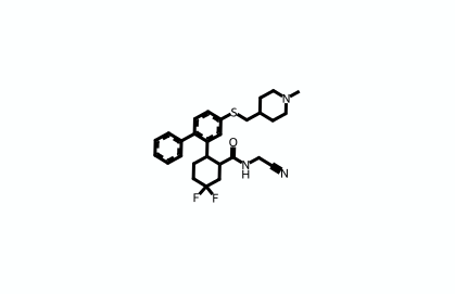 CN1CCC(CSc2ccc(-c3ccccc3)c(C3CCC(F)(F)CC3C(=O)NCC#N)c2)CC1